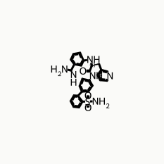 N=C(N)c1cccc(N[C@@H](Cc2cccnc2)C(=O)Nc2ccc(-c3ccccc3S(N)(=O)=O)cc2)c1